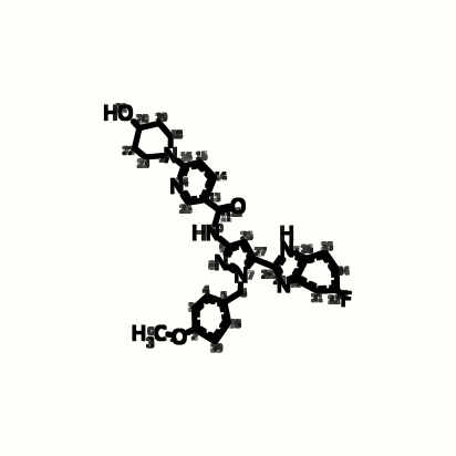 COc1ccc(Cn2nc(NC(=O)c3ccc(N4CCC(O)CC4)nc3)cc2-c2nc3cc(F)ccc3[nH]2)cc1